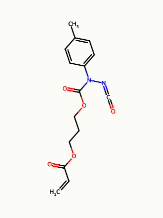 C=CC(=O)OCCCOC(=O)N(N=C=O)c1ccc(C)cc1